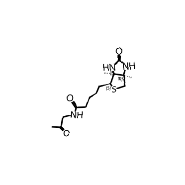 CC(=O)CNC(=O)CCCC[C@@H]1SC[C@]2(C)NC(=O)N[C@]12C